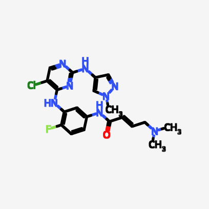 CN(C)C/C=C/C(=O)Nc1ccc(F)c(Nc2nc(Nc3cnn(C)c3)ncc2Cl)c1